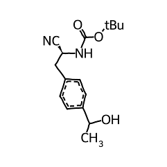 CC(O)c1ccc(C[C@@H](C#N)NC(=O)OC(C)(C)C)cc1